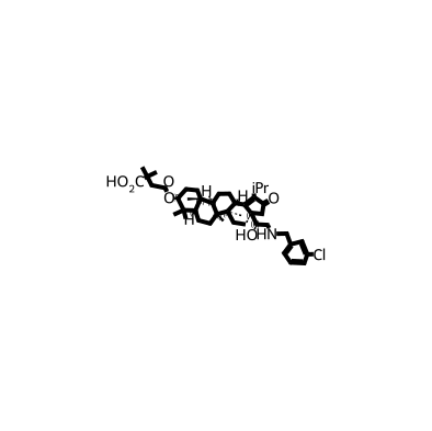 CC(C)C1=C2[C@H]3CC[C@@H]4[C@@]5(C)CC[C@H](OC(=O)CC(C)(C)C(=O)O)C(C)(C)[C@@H]5CC[C@@]4(C)[C@]3(C)CC[C@@]2([C@@H](O)CNCc2cccc(Cl)c2)CC1=O